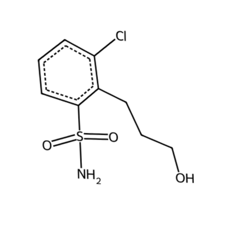 NS(=O)(=O)c1cccc(Cl)c1CCCO